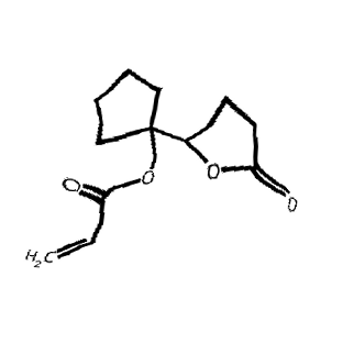 C=CC(=O)OC1(C2CCC(=O)O2)CCCC1